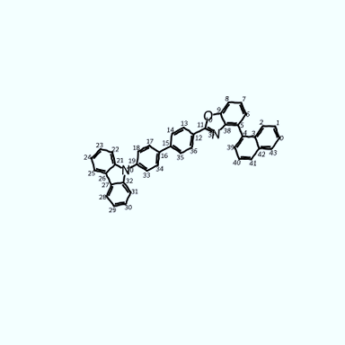 c1ccc2c(-c3cccc4oc(-c5ccc(-c6ccc(-n7c8ccccc8c8ccccc87)cc6)cc5)nc34)cccc2c1